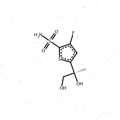 C[C@](O)(CO)c1cc(F)c(S(N)(=O)=O)s1